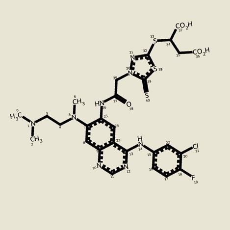 CN(C)CCN(C)c1cc2ncnc(Nc3ccc(F)c(Cl)c3)c2cc1NC(=O)Cn1nc(SC(CC(=O)O)C(=O)O)sc1=S